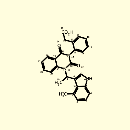 Cc1cccc2[nH]cc(C(C)n3c(=O)n(-c4ccccc4CC(=O)O)c(=O)c4ccccc43)c12